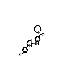 O=C(c1ccc(Nc2nccc(-c3ccc(Cl)cc3)n2)cc1)N1CCCCCCC1